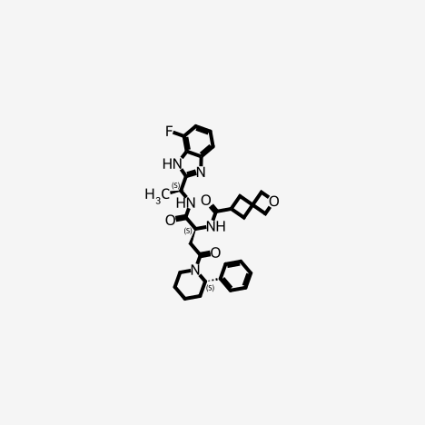 C[C@H](NC(=O)[C@H](CC(=O)N1CCCC[C@H]1c1ccccc1)NC(=O)C1CC2(COC2)C1)c1nc2cccc(F)c2[nH]1